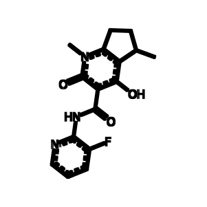 CC1CCc2c1c(O)c(C(=O)Nc1ncccc1F)c(=O)n2C